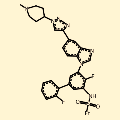 CCS(=O)(=O)Nc1cc(-c2ccccc2F)cc(-n2cnc3cc(-c4cn(C5CCN(C)CC5)nn4)ccc32)c1F